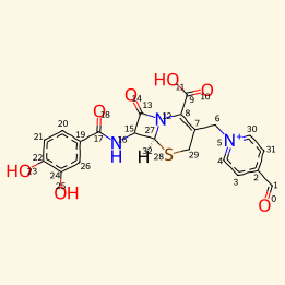 O=Cc1cc[n+](CC2=C(C(=O)O)N3C(=O)C(NC(=O)c4ccc(O)c(O)c4)[C@@H]3SC2)cc1